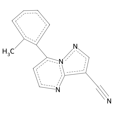 Cc1ccccc1-c1ccnc2c(C#N)cnn12